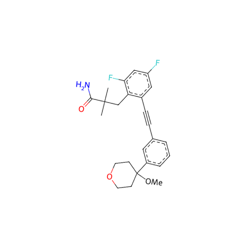 COC1(c2cccc(C#Cc3cc(F)cc(F)c3CC(C)(C)C(N)=O)c2)CCOCC1